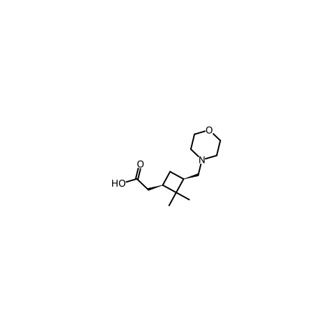 CC1(C)[C@@H](CC(=O)O)C[C@H]1CN1CCOCC1